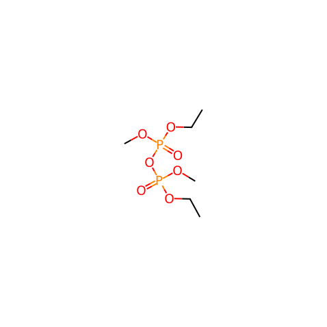 CCOP(=O)(OC)OP(=O)(OC)OCC